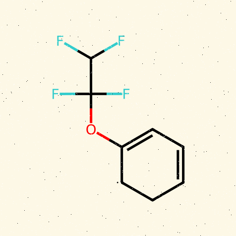 FC(F)C(F)(F)OC1=CC=CC[CH]1